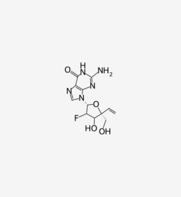 C=C[C@]1(CO)O[C@@H](n2cnc3c(=O)[nH]c(N)nc32)C(F)C1O